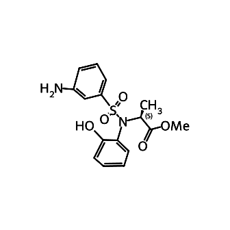 COC(=O)[C@H](C)N(c1ccccc1O)S(=O)(=O)c1cccc(N)c1